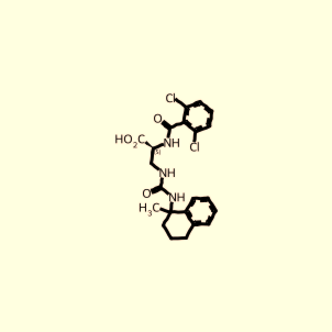 CC1(NC(=O)NC[C@H](NC(=O)c2c(Cl)cccc2Cl)C(=O)O)CCCc2ccccc21